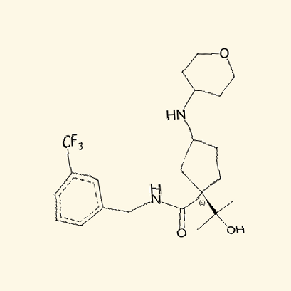 CC(C)(O)[C@]1(C(=O)NCc2cccc(C(F)(F)F)c2)CCC(NC2CCOCC2)C1